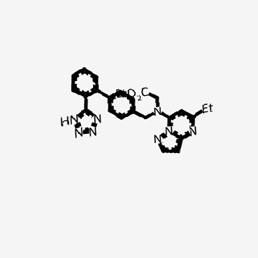 CCOC(=O)CN(Cc1ccc(-c2ccccc2-c2nnn[nH]2)cc1)c1cc(CC)nc2ccnn12